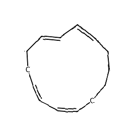 [CH]1/C=C/C=C\CCCC/C=C\C=C\C1